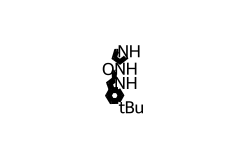 CC(C)(C)c1ccc2cc(C(=O)N[C@H]3CCNC3)[nH]c2c1